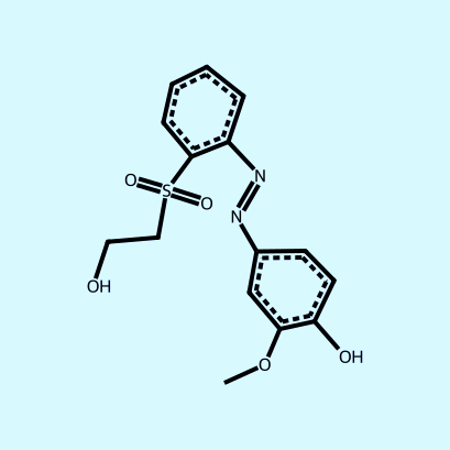 COc1cc(N=Nc2ccccc2S(=O)(=O)CCO)ccc1O